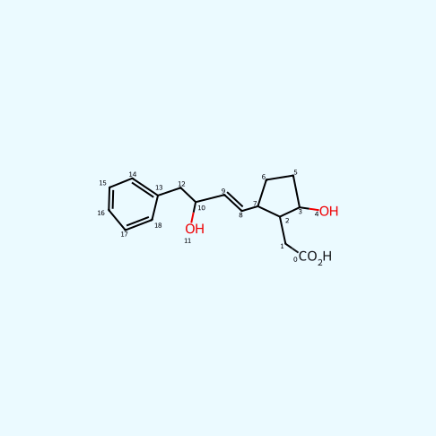 O=C(O)CC1C(O)CCC1C=CC(O)Cc1ccccc1